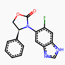 O=C1OC[C@H](c2ccccc2)N1c1cc2nc[nH]c2cc1F